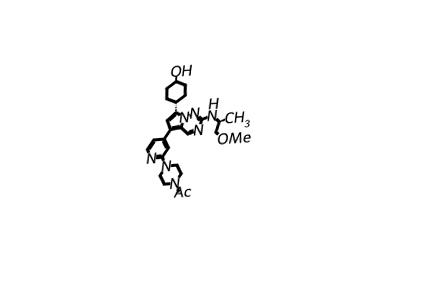 COC[C@H](C)Nc1ncc2c(-c3ccnc(N4CCN(C(C)=O)CC4)c3)cc([C@H]3CC[C@H](O)CC3)n2n1